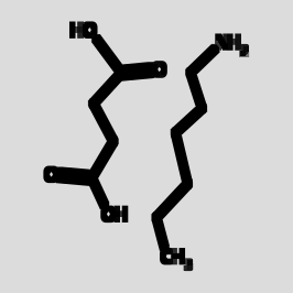 CCCCCCN.O=C(O)CCC(=O)O